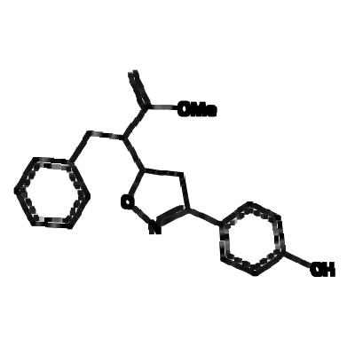 C=C(OC)C(Cc1ccccc1)C1CC(c2ccc(O)cc2)=NO1